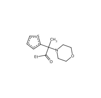 CCC(=O)C(C)(c1cccs1)N1CCOCC1